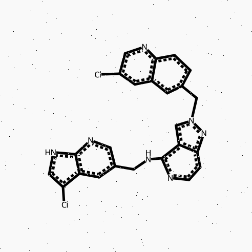 Clc1cnc2ccc(Cn3cc4c(NCc5cnc6[nH]cc(Cl)c6c5)nccc4n3)cc2c1